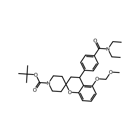 CCN(CC)C(=O)c1ccc(C2CC3(CCN(C(=O)OC(C)(C)C)CC3)Oc3cccc(OCOC)c32)cc1